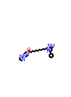 Cc1cc(-c2ccccc2)nn(CCCCCCCCCCC(=O)N2CCN(c3ncccn3)CC2)c1=N